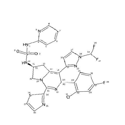 O=S(=O)(Nc1ccccn1)N[C@H]1CC2=C(c3ccn(C(F)F)n3)[C@H](c3ccc(F)cc3Cl)N=C(c3nccs3)N2C1